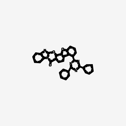 O=c1c2ccc3c(oc4cccc(-c5nc(-c6ccccc6)nc(-c6ccccc6)n5)c43)c2oc2nc3ccccc3n12